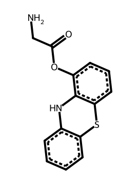 NCC(=O)Oc1cccc2c1Nc1ccccc1S2